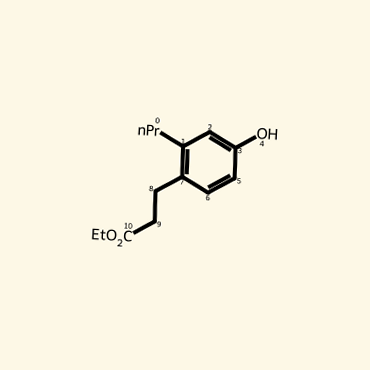 CCCc1cc(O)ccc1CCC(=O)OCC